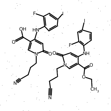 CCOC(=O)c1cn(CCCC#N)c(=O)cc1Nc1ccc(I)cc1F.N#CCCCn1cc(C(=O)O)c(Nc2ccc(I)cc2F)cc1=O